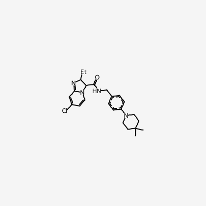 CCC1N=C2C=C(Cl)C=CN2C1C(=O)NCc1ccc(N2CCC(C)(C)CC2)cc1